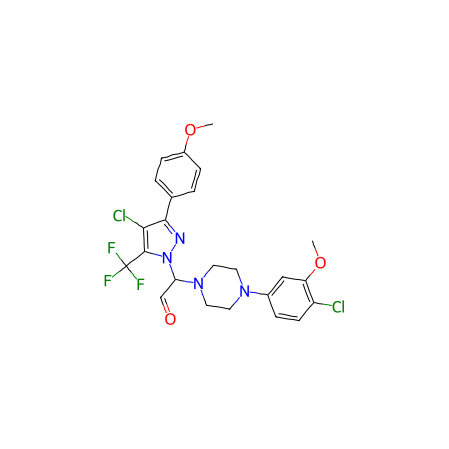 COc1ccc(-c2nn(C(C=O)N3CCN(c4ccc(Cl)c(OC)c4)CC3)c(C(F)(F)F)c2Cl)cc1